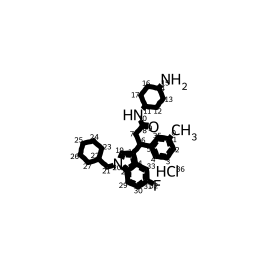 Cc1cccc(C(CC(=O)NC2CCC(N)CC2)c2cn(CC3CCCCC3)c3ccc(F)cc23)c1.Cl